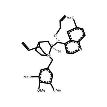 C=CCO[C@H](c1ccnc2ccc(OC)cc12)[C@@H]1CC2CC[N+]1(Cc1cc(OC)c(OC)c(OC)c1)CC2C=C